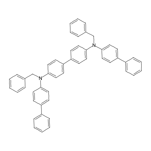 c1ccc(CN(c2ccc(-c3ccccc3)cc2)c2ccc(-c3ccc(N(Cc4ccccc4)c4ccc(-c5ccccc5)cc4)cc3)cc2)cc1